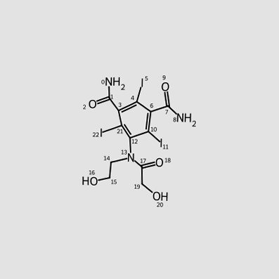 NC(=O)c1c(I)c(C(N)=O)c(I)c(N(CCO)C(=O)CO)c1I